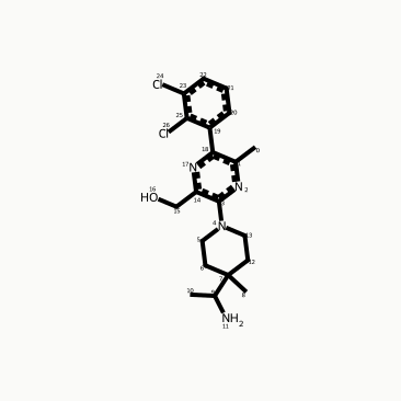 Cc1nc(N2CCC(C)(C(C)N)CC2)c(CO)nc1-c1cccc(Cl)c1Cl